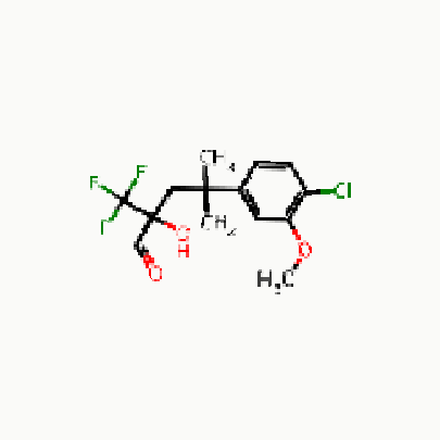 COc1cc(C(C)(C)CC(O)(C=O)C(F)(F)F)ccc1Cl